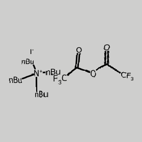 CCCC[N+](CCCC)(CCCC)CCCC.O=C(OC(=O)C(F)(F)F)C(F)(F)F.[I-]